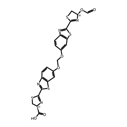 O=CO[C@@H]1CSC(c2nc3ccc(OCOc4ccc5nc(C6=N[C@@H](C(=O)O)CS6)sc5c4)cc3s2)=N1